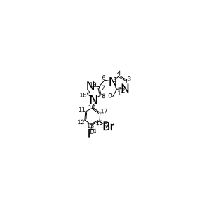 Cc1nccn1Cc1cn(-c2ccc(F)c(Br)c2)cn1